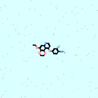 CCOc1cc2nccc(Oc3ccc(N)c(Cl)c3)c2c2c1OCCO2